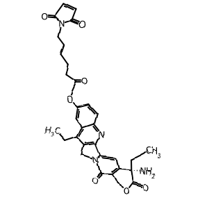 CCc1c2c(nc3ccc(OC(=O)CCCCCN4C(=O)C=CC4=O)cc13)-c1cc3c(c(=O)n1C2)COC(=O)[C@]3(N)CC